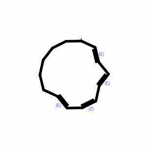 [CH]1/C=C/C=C/C=C\C=C\CCCCC1